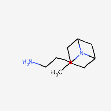 CC1CC2CC(C1)N2CCCN